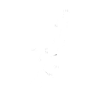 Cc1ccc(-c2ccc(C[C@H](NC(=O)O)[C@H](O)C[C@@H](N)Cc3ccccc3)cc2)nc1